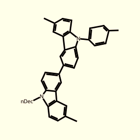 CCCCCCCCCCn1c2ccc(C)cc2c2cc(-c3ccc4c(c3)c3cc(C)ccc3n4-c3ccc(C)cc3)ccc21